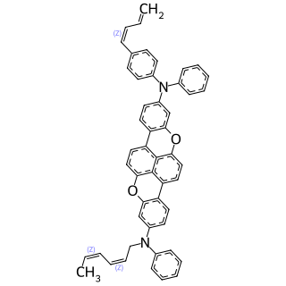 C=C/C=C\c1ccc(N(c2ccccc2)c2ccc3c(c2)Oc2ccc4c5c(ccc-3c25)Oc2cc(N(C/C=C\C=C/C)c3ccccc3)ccc2-4)cc1